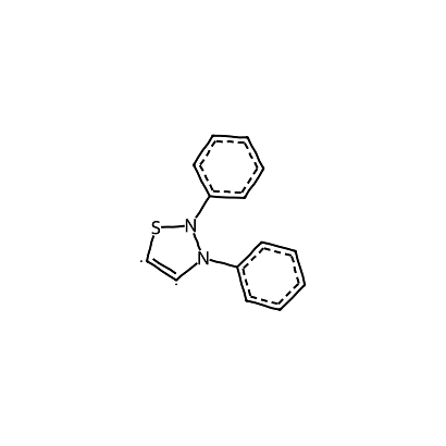 [C]1=[C]N(c2ccccc2)N(c2ccccc2)S1